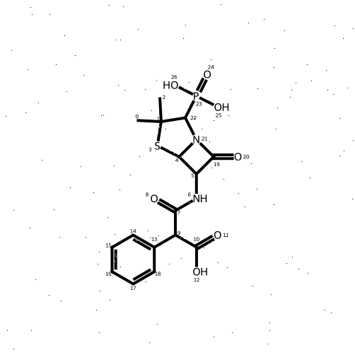 CC1(C)SC2C(NC(=O)C(C(=O)O)c3ccccc3)C(=O)N2C1P(=O)(O)O